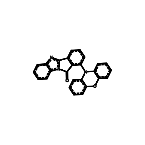 O=C1c2c(cccc2N2c3ccccc3Oc3ccccc32)-c2nc3ccccc3n21